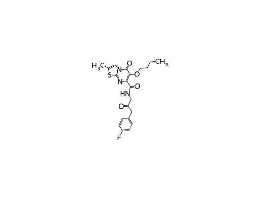 CCCCOc1c(C(=O)NCC(=O)Cc2ccc(F)cc2)nc2sc(C)cn2c1=O